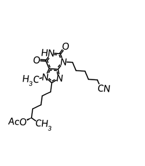 CC(=O)O[C@H](C)CCCCc1nc2c(c(=O)[nH]c(=O)n2CCCCCC#N)n1C